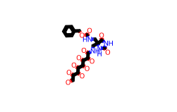 O=CC(=O)C(=O)C(=O)C(=O)C(=O)C(=O)C(=O)NCC1(CNC(=O)OCc2ccccc2)NC(=O)NC1=O